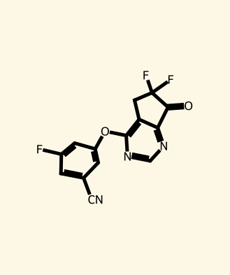 N#Cc1cc(F)cc(Oc2ncnc3c2CC(F)(F)C3=O)c1